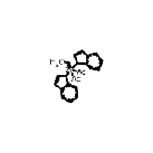 C[CH]=[Zr]([C](C)=O)([C](C)=O)([CH]1C=Cc2ccccc21)[CH]1C=Cc2ccccc21